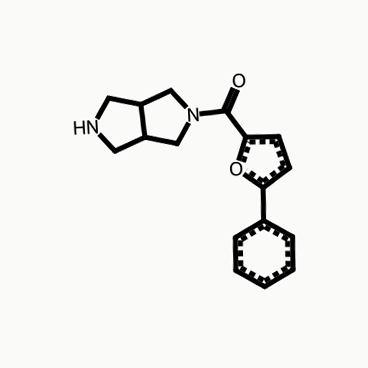 O=C(c1ccc(-c2ccccc2)o1)N1CC2CNCC2C1